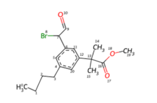 CCCCc1cc(C(Br)C=O)cc(C(C)(C)C(=O)OC)c1